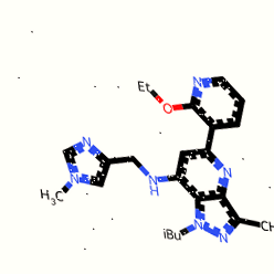 CCOc1ncccc1-c1cc(NCc2cn(C)cn2)c2c(n1)c(C)nn2C(C)CC